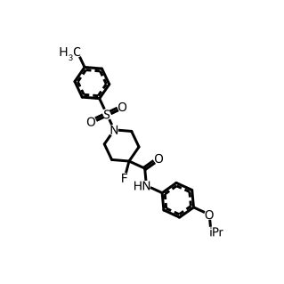 Cc1ccc(S(=O)(=O)N2CCC(F)(C(=O)Nc3ccc(OC(C)C)cc3)CC2)cc1